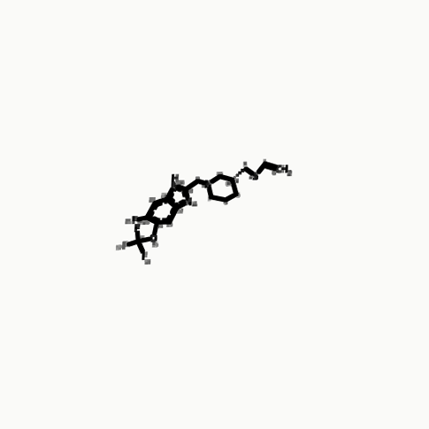 C=CSC[C@@H]1CCCN(Cc2nc3cc(OC(F)(F)F)c(F)cc3[nH]2)C1